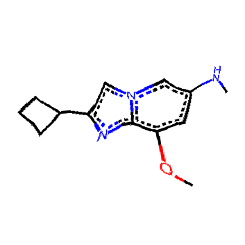 CNc1cc(OC)c2nc(C3CCC3)cn2c1